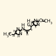 CCOc1ncc(C(C)CC2CC2Nc2ncc(CC)cn2)cn1